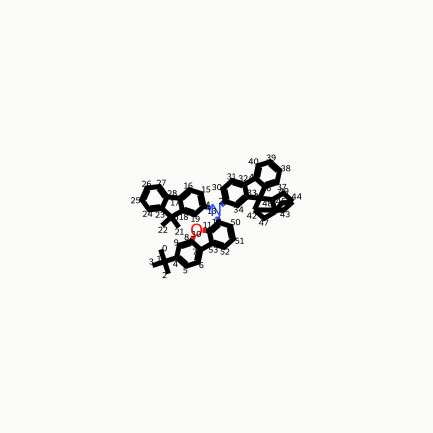 CC(C)(C)c1ccc2c(c1)oc1c(N(c3ccc4c(c3)C(C)(C)c3ccccc3-4)c3ccc4c(c3)C3(c5ccccc5-4)C4CC5CC(C4)C3C5)cccc12